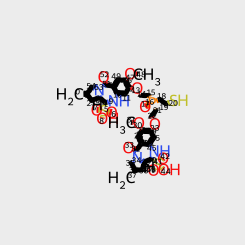 C=C1C[C@H]2[C@H](S(=O)(=O)O)Nc3cc(OCCP(=O)(CCS)CCOc4cc5c(cc4OC)C(=O)N4CC(=C)C[C@H]4[C@H](S(=O)(=O)O)N5)c(OC)cc3C(=O)N2C1